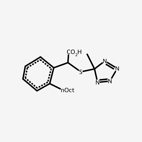 CCCCCCCCc1ccccc1C(SC1(C)N=NN=N1)C(=O)O